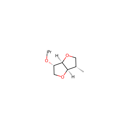 CC(C)O[C@H]1CO[C@H]2[C@@H]1OC[C@@H]2C